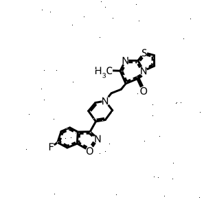 Cc1nc2sccn2c(=O)c1CCN1C=CC(c2noc3cc(F)ccc23)=CC1